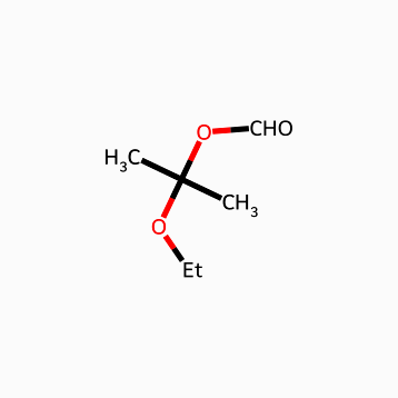 CCOC(C)(C)OC=O